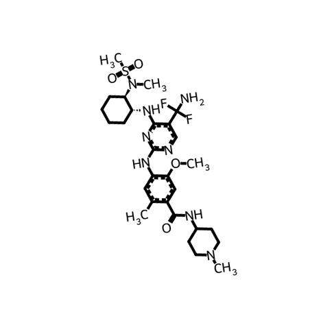 COc1cc(C(=O)NC2CCN(C)CC2)c(C)cc1Nc1ncc(C(N)(F)F)c(N[C@@H]2CCCC[C@H]2N(C)S(C)(=O)=O)n1